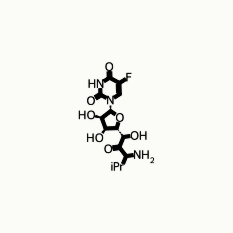 CC(C)C(N)C(=O)C(O)[C@H]1O[C@@H](n2cc(F)c(=O)[nH]c2=O)[C@H](O)[C@@H]1O